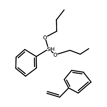 C=Cc1ccccc1.CCCO[SiH](OCCC)c1ccccc1